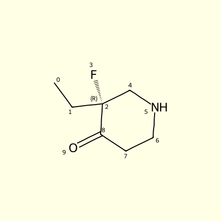 CC[C@@]1(F)CNCCC1=O